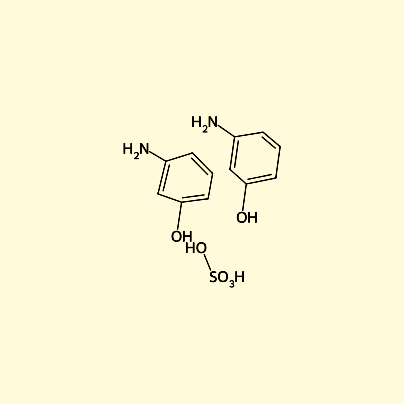 Nc1cccc(O)c1.Nc1cccc(O)c1.O=S(=O)(O)O